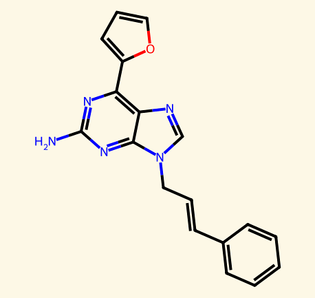 Nc1nc(-c2ccco2)c2ncn(CC=Cc3ccccc3)c2n1